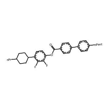 CCCCCc1ccc(-c2ccc(C(=O)Oc3ccc(C4CCC(CCC)CC4)c(F)c3F)cc2)cc1